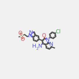 Cc1ccc2c(N)c(-c3ccc4c(cnn4CCS(C)(=O)=O)c3)c(=O)n(-c3ccc(Cl)cc3)c2n1